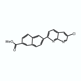 COC(=O)c1ccc2cc(-c3ccc4cc(Cl)cnc4n3)ccc2c1